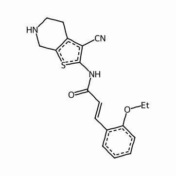 CCOc1ccccc1C=CC(=O)Nc1sc2c(c1C#N)CCNC2